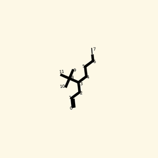 C=CCC(CCCI)C(C)(C)C